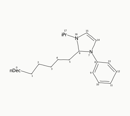 CCCCCCCCCCCCCCCC1N(c2ccccc2)C=CN1C(C)C